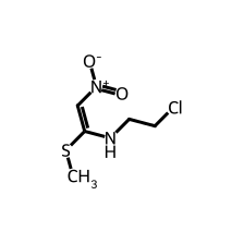 CSC(=C[N+](=O)[O-])NCCCl